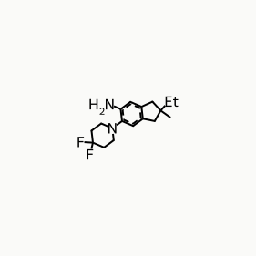 CCC1(C)Cc2cc(N)c(N3CCC(F)(F)CC3)cc2C1